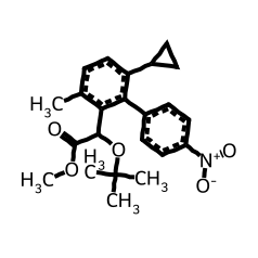 COC(=O)C(OC(C)(C)C)c1c(C)ccc(C2CC2)c1-c1ccc([N+](=O)[O-])cc1